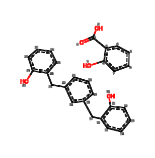 O=C(O)c1ccccc1O.Oc1ccccc1Cc1cccc(Cc2ccccc2O)c1